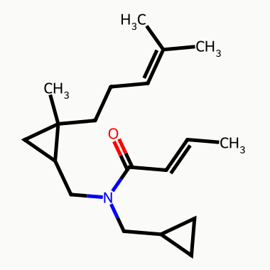 C/C=C/C(=O)N(CC1CC1)CC1CC1(C)CCC=C(C)C